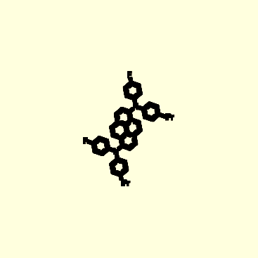 CC(C)c1ccc(N(c2ccc(F)cc2)c2ccc3ccc4c(N(c5ccc(F)cc5)c5ccc(C(C)C)cc5)ccc5ccc2c3c54)cc1